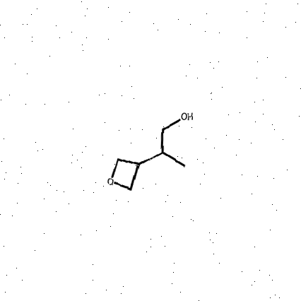 CC(CO)C1COC1